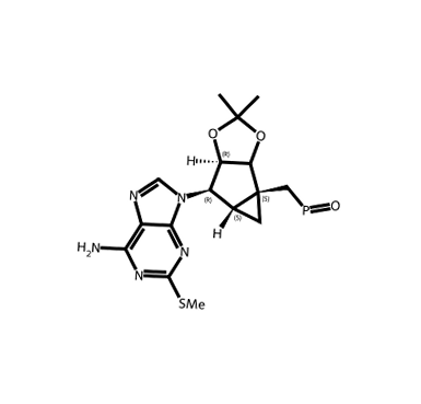 CSc1nc(N)c2ncn([C@@H]3[C@H]4C[C@@]4(CP=O)C4OC(C)(C)O[C@@H]43)c2n1